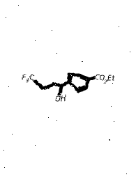 CCOC(=O)c1ccc(C(O)CCC(F)(F)F)cc1